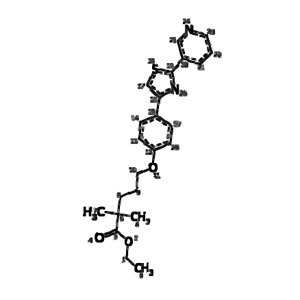 CCOC(=O)C(C)(C)CCCOc1ccc(-c2csc(-c3cccnc3)n2)cc1